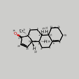 CC[C@]12CC[C@H]3[C@@H](CCC4=CCCC[C@@H]43)[C@@H]1C=CC2=O